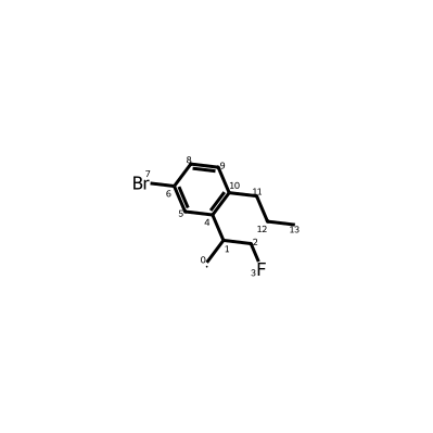 [CH2]C(CF)c1cc(Br)ccc1CCC